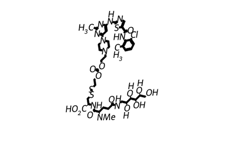 CN[C@@H](CCC(=O)NC[C@H](O)[C@@H](O)[C@H](O)[C@H](O)CO)C(=O)N[C@@H](CSSCCOC(=O)OCCN1CCN(c2cc(Nc3ncc(C(=O)Nc4c(C)cccc4Cl)s3)nc(C)n2)CC1)C(=O)O